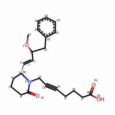 COC(/C=C/[C@H]1CCCC(=O)N1CC#CCCCC(=O)O)Cc1ccccc1